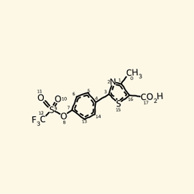 Cc1nc(-c2ccc(OS(=O)(=O)C(F)(F)F)cc2)sc1C(=O)O